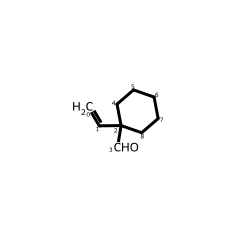 C=CC1(C=O)CCCCC1